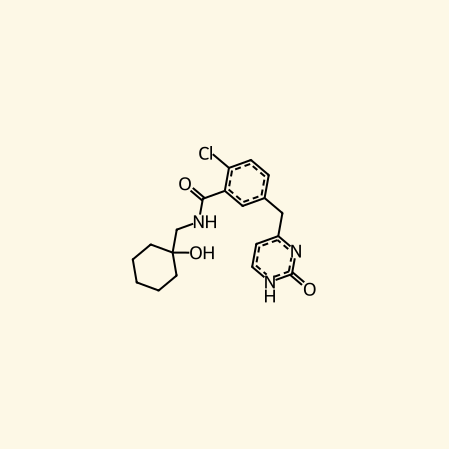 O=C(NCC1(O)CCCCC1)c1cc(Cc2cc[nH]c(=O)n2)ccc1Cl